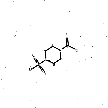 CCS(=O)(=O)N1CCN(C(=O)C(C)C)CC1